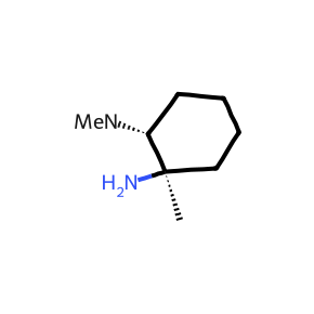 CN[C@@H]1CCCC[C@@]1(C)N